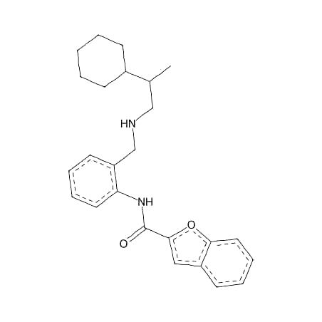 CC(CNCc1ccccc1NC(=O)c1cc2ccccc2o1)C1CCCCC1